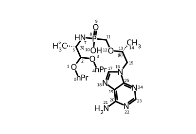 CCCOC(OCCC)[C@H](C)NP(=O)(O)CO[C@H](C)Cn1cnc2c(N)ncnc21